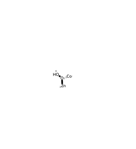 O[O][Zn].[Co]